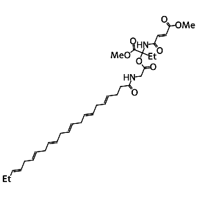 CCC=CCC=CCC=CCC=CCC=CCC=CCCC(=O)NCC(=O)OC(CC)(NC(=O)C=CC(=O)OC)C(=O)OC